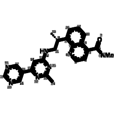 CNC(=O)c1ccnc2c([C@@H](C)CNc3cc(-c4cncnc4)nc(C)n3)cccc12